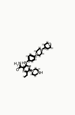 CCc1nc(C(N)=O)c(Nc2ccc(N3CCN(C4CCOCC4)CC3)cc2)nc1N1CCNCC1